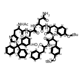 CC(=O)NC(Cc1cn(C(c2ccccc2)(c2ccccc2)c2ccccc2)cn1)C(=O)NC(C)C(=O)NC(CC(N)=O)C(=O)NC(Cc1ccc(OC(C)(C)C)cc1)C(=O)NC(Cc1ccc(OC(C)(C)C)cc1)C(=O)NC(Cc1ccccc1)C(=O)O